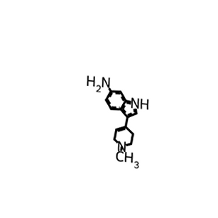 CN1CC=C(c2c[nH]c3cc(N)ccc23)CC1